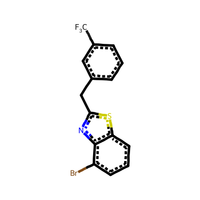 FC(F)(F)c1cccc(Cc2nc3c(Br)cccc3s2)c1